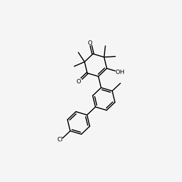 Cc1ccc(-c2ccc(Cl)cc2)cc1C1=C(O)C(C)(C)C(=O)C(C)(C)C1=O